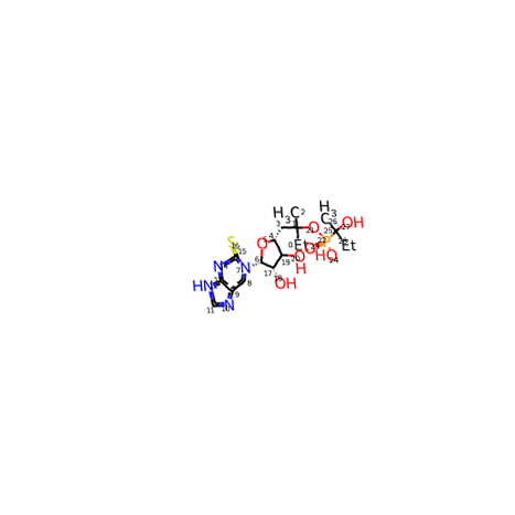 CCC(C)(C[C@H]1O[C@@H](n2cc3nc[nH]c3nc2=S)[C@@H](O)C1O)OP(=O)(O)C(C)(O)CC